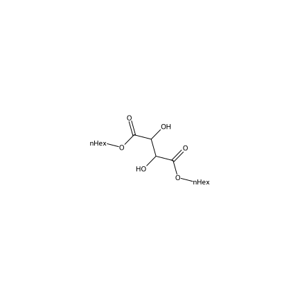 CCCCCCOC(=O)C(O)C(O)C(=O)OCCCCCC